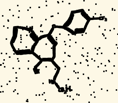 O=C(O)NCc1cc(Oc2ccc(C(F)(F)F)cc2)c2ncccc2c1Br